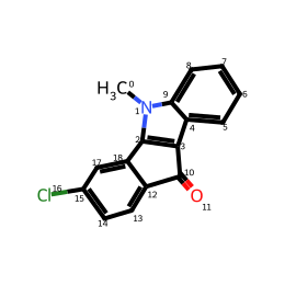 Cn1c2c(c3ccccc31)C(=O)c1ccc(Cl)cc1-2